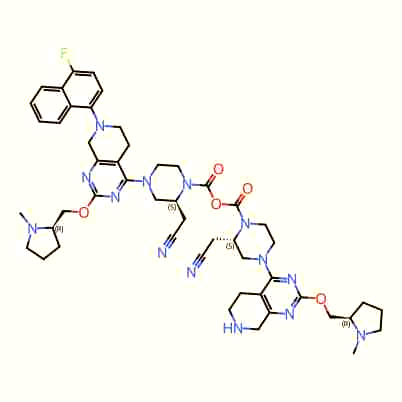 CN1CCC[C@@H]1COc1nc2c(c(N3CCN(C(=O)OC(=O)N4CCN(c5nc(OC[C@H]6CCCN6C)nc6c5CCN(c5ccc(F)c7ccccc57)C6)C[C@@H]4CC#N)[C@@H](CC#N)C3)n1)CCNC2